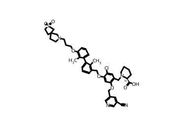 Cc1c(COc2cc(OCc3cncc(C#N)c3)c(CN3CCCC[C@H]3C(=O)O)cc2Cl)cccc1-c1cccc(OCCCN2CCC3(CCS(=O)(=O)C3)C2)c1C